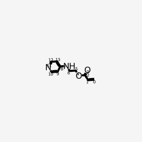 C=CC(=O)OCCNc1ccncc1